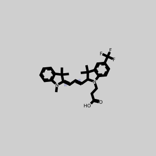 CN1/C(=C/C=C/C2N(CCC(=O)O)c3ccc(C(F)(F)F)cc3C2(C)C)C(C)(C)c2ccccc21